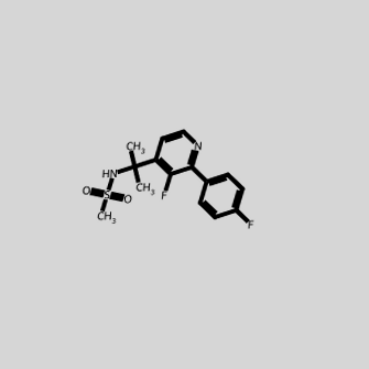 CC(C)(NS(C)(=O)=O)c1ccnc(-c2ccc(F)cc2)c1F